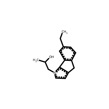 CCc1ccc2c(c1)-c1c(ccn1CC(C)O)C2